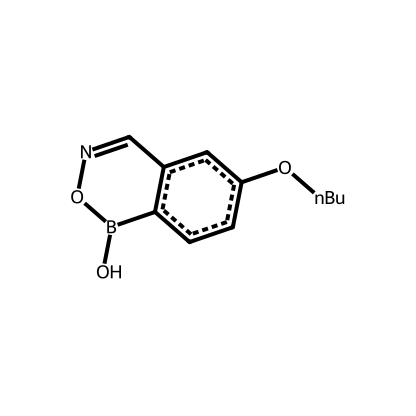 CCCCOc1ccc2c(c1)C=NOB2O